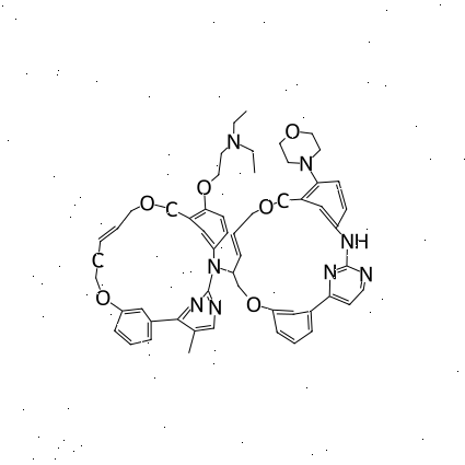 CCN(CC)CCOc1ccc2cc1COC/C=C/CCOc1cccc(c1)-c1nc(ncc1C)N2C1/C=C/COCc2cc(ccc2N2CCOCC2)Nc2nccc(n2)-c2cccc(c2)OC1